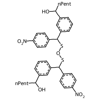 CCCCCC(O)c1cccc(C(SOSC(c2ccc([N+](=O)[O-])cc2)c2cccc(C(O)CCCCC)c2)c2ccc([N+](=O)[O-])cc2)c1